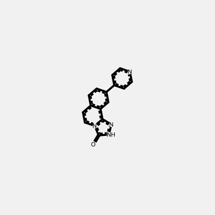 O=c1[nH]nc2c3cc(-c4ccncc4)ccc3ccn12